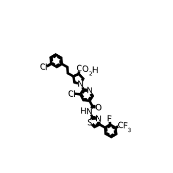 O=C(Nc1nc(-c2cccc(C(F)(F)F)c2F)cs1)c1cnc(N2CC(CCc3cccc(Cl)c3)C(C(=O)O)C2)c(Cl)c1